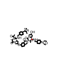 CC(=O)O[C@@H](C)C(=O)N1C[C@H](Oc2ccc3c(c2)C(=O)N([C@H](C(=O)N2C[C@H](O)C[C@H]2C(=O)NCc2ccc(N4CCOCC4)cc2)C(C)C)C3)C[C@H]1C(=O)NCc1ccc(-c2scnc2C)cc1